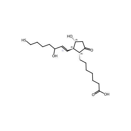 O=C(O)CCCCCC[C@H]1C(=O)C[C@@H](O)[C@@H]1/C=C/C(O)CCCCS